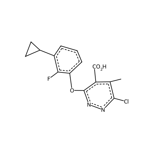 Cc1c(Cl)nnc(Oc2cccc(C3CC3)c2F)c1C(=O)O